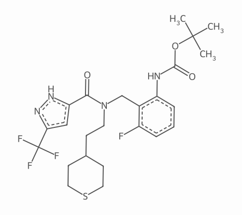 CC(C)(C)OC(=O)Nc1cccc(F)c1CN(CCC1CCSCC1)C(=O)c1cc(C(F)(F)F)n[nH]1